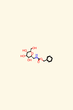 O=C(NC[C@@H]1O[C@H](CO)[C@@H](O)[C@H](O)[C@H]1O)OCc1ccccc1